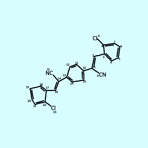 N#C/C(=C\c1ccccc1Cl)c1ccc(/C(C#N)=C/c2ccccc2Cl)cc1